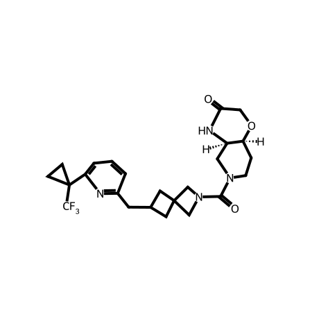 O=C1CO[C@H]2CCN(C(=O)N3CC4(CC(Cc5cccc(C6(C(F)(F)F)CC6)n5)C4)C3)C[C@H]2N1